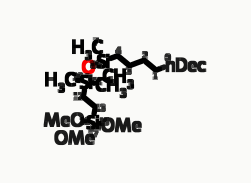 CCCCCCCCCCCCCC[Si](C)(C)O[Si](C)(C)CC[Si](OC)(OC)OC